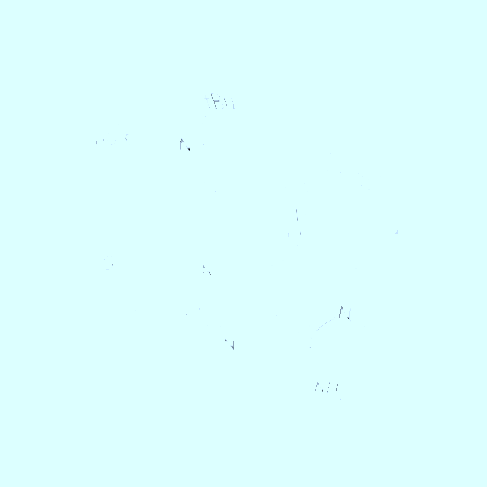 CC(C)(C)N(C[C@H]1COCc2nc3c(N)nc4ccccc4c3n21)C(=O)O